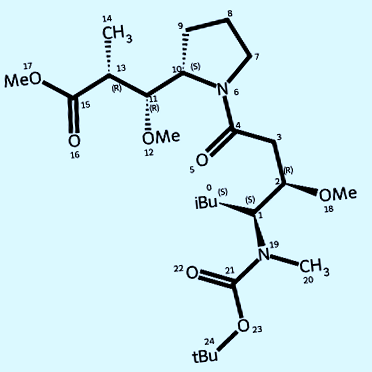 CC[C@H](C)[C@@H]([C@@H](CC(=O)N1CCC[C@H]1[C@H](OC)[C@@H](C)C(=O)OC)OC)N(C)C(=O)OC(C)(C)C